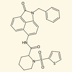 O=C(Nc1ccc2c3c(cccc13)C(=O)N2Cc1ccccc1)C1CCCCN1S(=O)(=O)c1cccs1